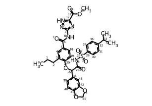 CCCc1cc(C(=O)Nc2n[nH]c(C(=O)OC)n2)ccc1OC(C(=O)NS(=O)(=O)c1ccc(C(C)C)cc1)c1ccc2c(c1)OCO2